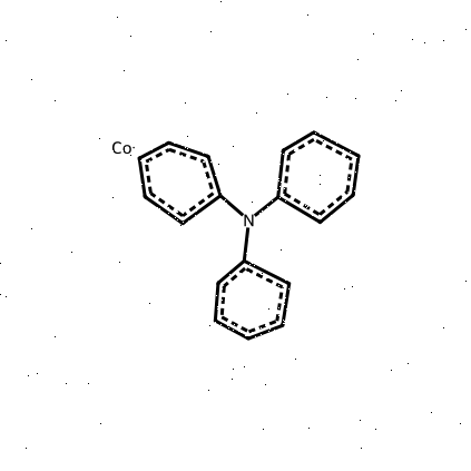 [Co].c1ccc(N(c2ccccc2)c2ccccc2)cc1